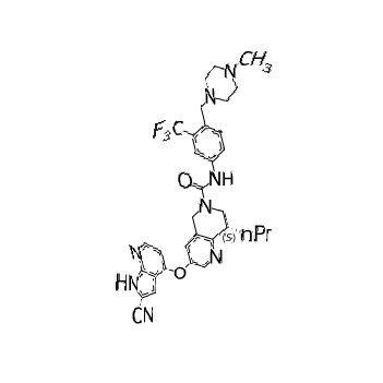 CCC[C@H]1CN(C(=O)Nc2ccc(CN3CCN(C)CC3)c(C(F)(F)F)c2)Cc2cc(Oc3ccnc4[nH]c(C#N)cc34)cnc21